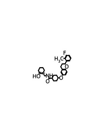 Cc1c(F)cccc1C1CCc2cc(OC3CCC(C(=O)NC[C@@H]4CCCC[C@H]4O)CC3)ccc2O1